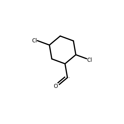 O=[C]C1CC(Cl)CCC1Cl